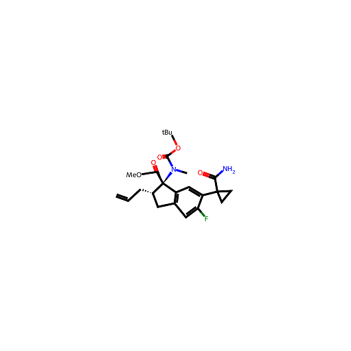 C=CC[C@H]1Cc2cc(F)c(C3(C(N)=O)CC3)cc2[C@]1(C(=O)OC)N(C)C(=O)OC(C)(C)C